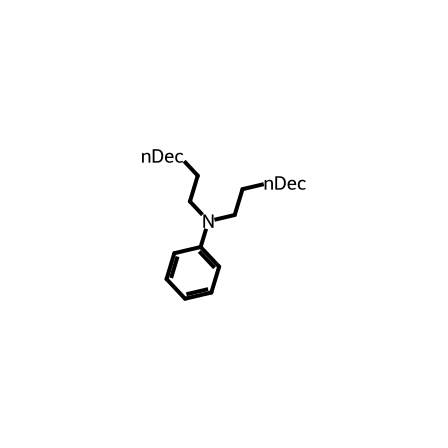 CCCCCCCCCCCCN(CCCCCCCCCCCC)c1ccccc1